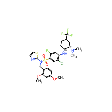 COc1ccc(CN(c2nccs2)S(=O)(=O)c2cc(Cl)c(N[C@H]3CCC(C(F)(F)F)C[C@@H]3N(C)C)cc2F)c(OC)c1